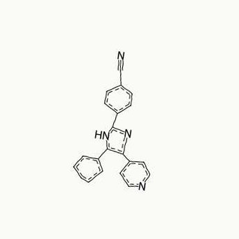 N#Cc1ccc(-c2nc(-c3ccncc3)c(-c3ccccc3)[nH]2)cc1